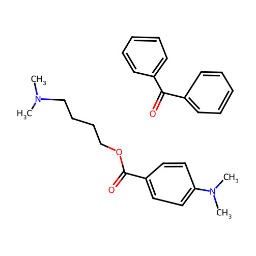 CN(C)CCCCOC(=O)c1ccc(N(C)C)cc1.O=C(c1ccccc1)c1ccccc1